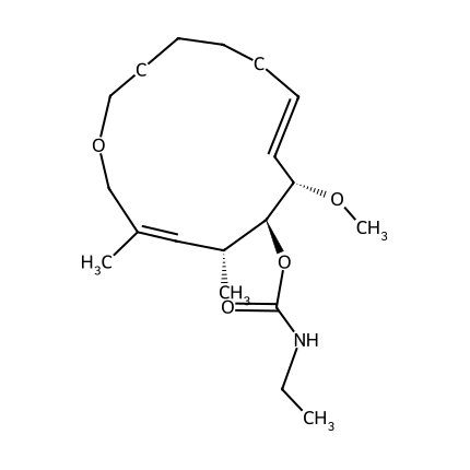 CCNC(=O)O[C@H]1[C@H](C)/C=C(/C)COCCCCC/C=C/[C@@H]1OC